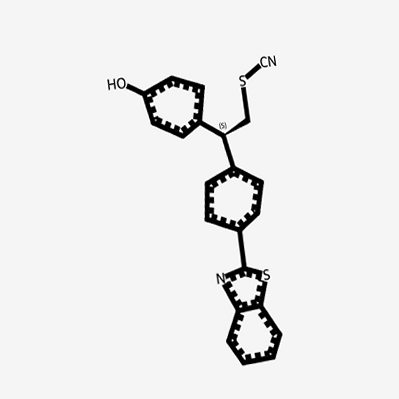 N#CSC[C@H](c1ccc(O)cc1)c1ccc(-c2nc3ccccc3s2)cc1